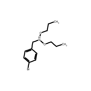 CCCO[SiH](Cc1ccc(Br)cc1)OCCC